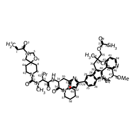 C=CC(=O)N1COC2(CCN(C(=O)N(C)[C@H](C(=O)N[C@@H](Cc3nc(-c4ccc5c(c4)c(CC(C)(C)COC(=O)[SiH3])c(-c4cccnc4[C@H](C)OC)n5CC)cs3)C(=O)N3CCCCN3)C(C)C)CC2)C1